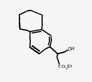 CCOC(=O)C(O)c1ccc2c(c1)CCCC2